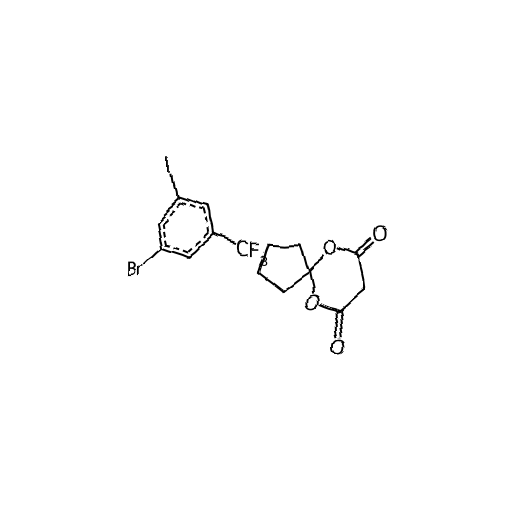 FC(F)(F)c1cc(Br)cc(I)c1.O=C1CC(=O)OC2(CCCC2)O1